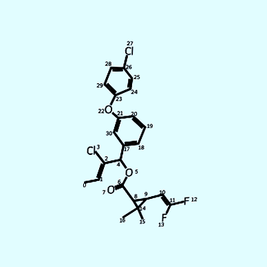 CC=C(Cl)C(OC(=O)C1C(C=C(F)F)C1(C)C)c1cccc(Oc2ccc(Cl)cc2)c1